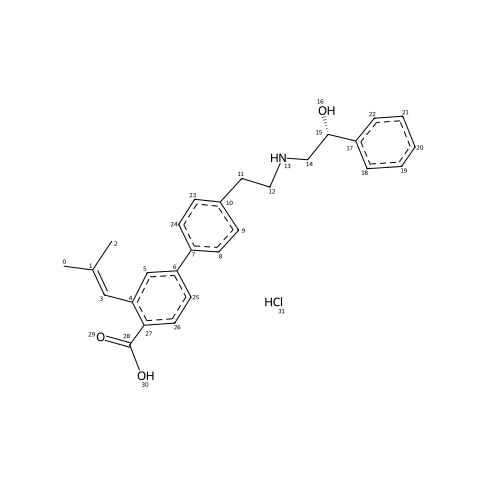 CC(C)=Cc1cc(-c2ccc(CCNC[C@H](O)c3ccccc3)cc2)ccc1C(=O)O.Cl